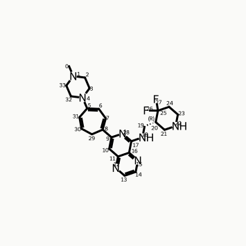 CN1CCN(C2=CC=C(c3cc4nccnc4c(NC[C@H]4CNCCC4(F)F)n3)CC=C2)CC1